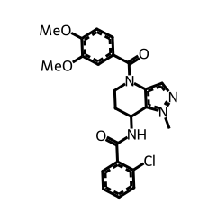 COc1ccc(C(=O)N2CCC(NC(=O)c3ccccc3Cl)c3c2cnn3C)cc1OC